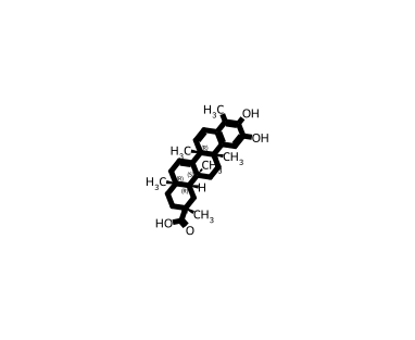 Cc1c(O)c(O)cc2c1C=C[C@@]1(C)C3=CC[C@@]4(C)CC[C@@](C)(C(=O)O)C[C@H]4[C@]3(C)CC[C@@]21C